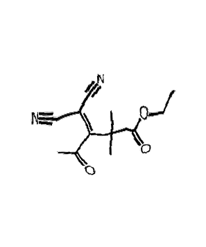 CCOC(=O)C(C)(C)C(C(C)=O)=C(C#N)C#N